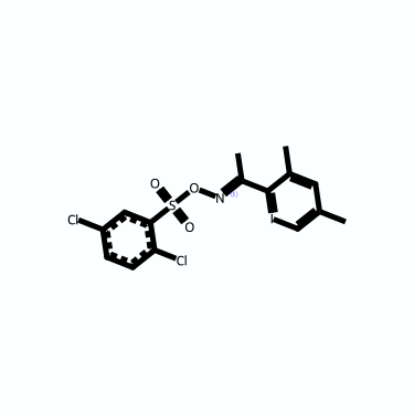 CC1=CI=C(/C(C)=N/OS(=O)(=O)c2cc(Cl)ccc2Cl)C(C)=C1